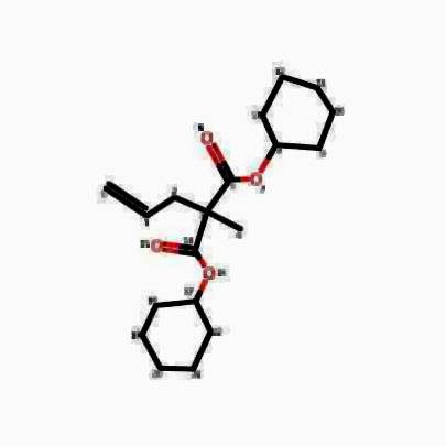 C=CCC(C)(C(=O)OC1CCCCC1)C(=O)OC1CCCCC1